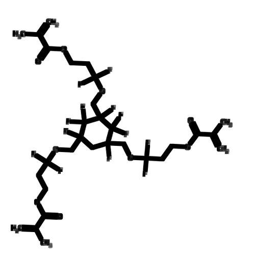 C=C(C)C(=O)OCCC(F)(F)OCC1(F)CC(F)(COC(F)(F)CCOC(=O)C(=C)C)C(F)(F)C(F)(COC(F)(F)CCOC(=O)C(=C)C)C1(F)F